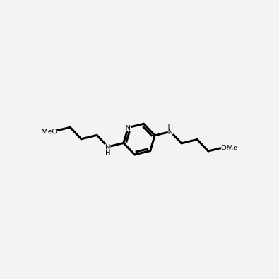 COCCCNc1ccc(NCCCOC)nc1